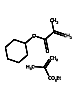 C=C(C)C(=O)OC1CCCCC1.C=C(C)C(=O)OCC